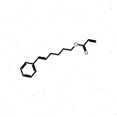 C=CC(=O)OCCCC/C=C/c1ccccc1